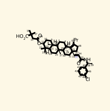 CC(C)C1=C2[C@H]3CC[C@@H]4[C@@]5(C)CC[C@H](OC(=O)CC(C)(C)C(=O)O)C(C)(C)[C@@H]5CC[C@@]4(C)[C@]3(C)CC[C@@]2(/C=C/C(=O)N[C@@H](C)c2cccc(Cl)c2)CC1